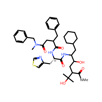 CNC(=O)C(CC(O)C(CC1CCCCC1)NC(=O)[C@H](Cc1cscn1)NC(=O)C(CC(=O)N(C)Cc1ccccc1)Cc1ccccc1)C(C)(C)O